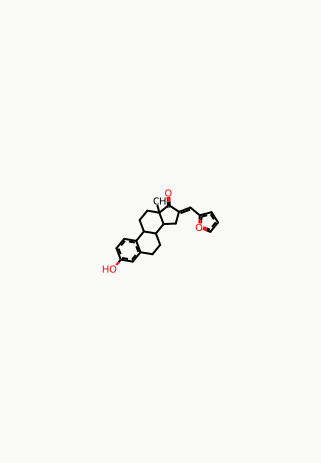 CC12CCC3c4ccc(O)cc4CCC3C1CC(=Cc1ccco1)C2=O